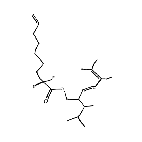 C=CCCCCCC(F)(F)C(=O)OCC(C=CC(C)=C(C)C)C(C)C(C)C